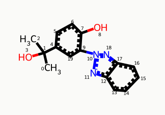 CC(C)(O)c1ccc(O)c(-n2nc3ccccc3n2)c1